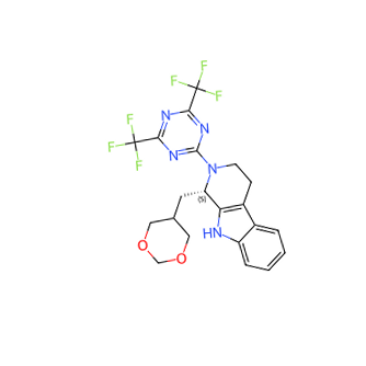 FC(F)(F)c1nc(N2CCc3c([nH]c4ccccc34)[C@@H]2CC2COCOC2)nc(C(F)(F)F)n1